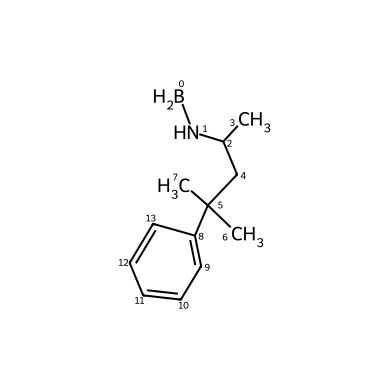 BNC(C)CC(C)(C)c1ccccc1